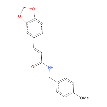 COc1ccc(CNC(=O)/C=C/c2ccc3c(c2)OCO3)cc1